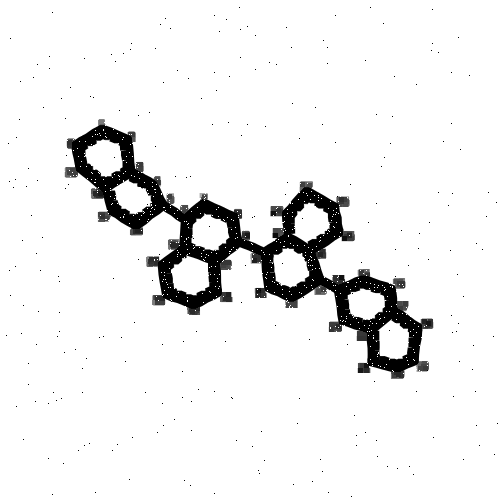 c1ccc2cc(-c3ccc(-c4ccc(-c5ccc6ccccc6c5)c5ccccc45)c4ccccc34)ccc2c1